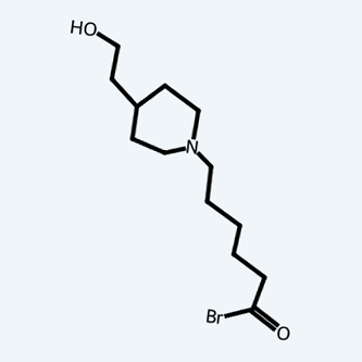 O=C(Br)CCCCCN1CCC(CCO)CC1